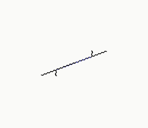 CCCCCCCCCCC(CC=C(C)C)/C(C)=C/C=C/C(C)=C/C=C/C(C)=C/C=C/C=C(C)/C=C/C=C(\C)CC/C=C(\C)C(CC=C(C)C)CCCCCCCCCC